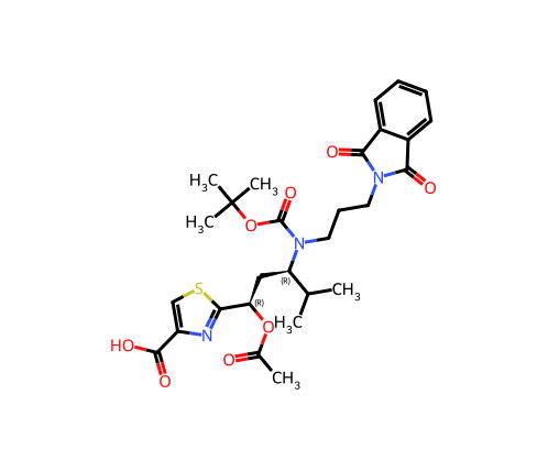 CC(=O)O[C@H](C[C@H](C(C)C)N(CCCN1C(=O)c2ccccc2C1=O)C(=O)OC(C)(C)C)c1nc(C(=O)O)cs1